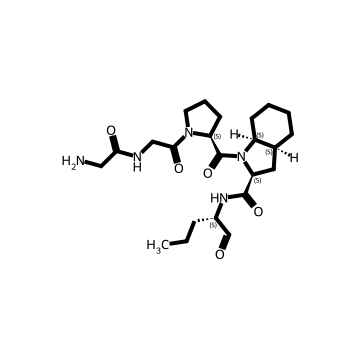 CCC[C@@H](C=O)NC(=O)[C@@H]1C[C@@H]2CCCC[C@@H]2N1C(=O)[C@@H]1CCCN1C(=O)CNC(=O)CN